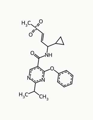 CC(C)c1ncc(C(=O)NC(/C=C/S(C)(=O)=O)C2CC2)c(Oc2ccccc2)n1